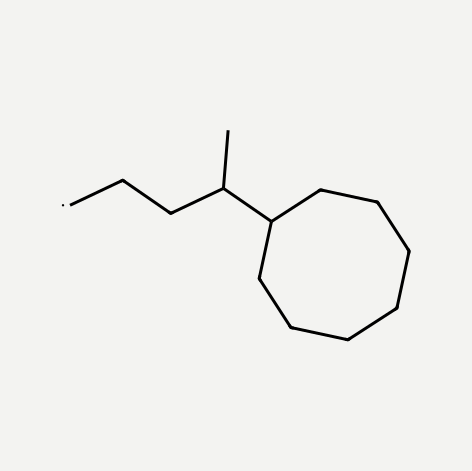 [CH2]CCC(C)C1CCCCCCC1